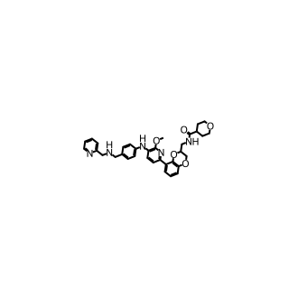 COc1nc(-c2cccc3c2OC(CNC(=O)C2CCOCC2)CO3)ccc1Nc1ccc(CNCc2ccccn2)cc1